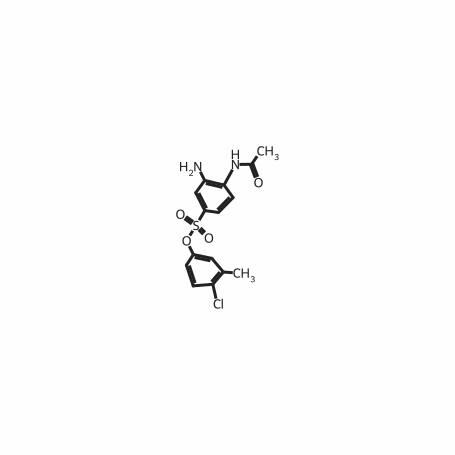 CC(=O)Nc1ccc(S(=O)(=O)Oc2ccc(Cl)c(C)c2)cc1N